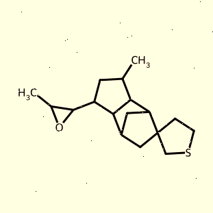 CC1CC(C2OC2C)C2C3CC(C12)C1(CCSC1)C3